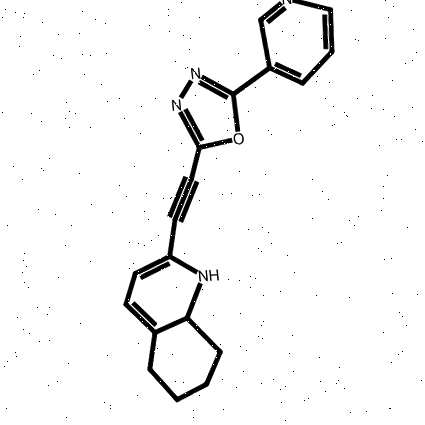 C(#Cc1nnc(-c2cccnc2)o1)C1=CC=C2CCCCC2N1